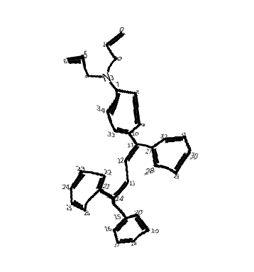 C=CCN(CC=C)c1ccc(C(=CC=C(c2ccccc2)c2ccccc2)c2ccccc2)cc1